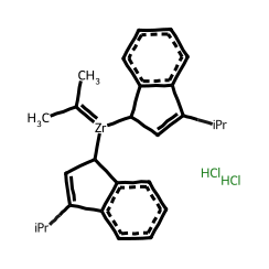 C[C](C)=[Zr]([CH]1C=C(C(C)C)c2ccccc21)[CH]1C=C(C(C)C)c2ccccc21.Cl.Cl